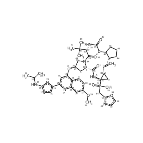 C=C[C@@H]1C[C@]1(NC(=O)[C@@H]1C[C@@H](Oc2cc(-c3csc(NC(C)C)n3)nc3cc(OC)ccc23)CN1C(=O)[C@@H](NC(=O)OC1CCCC1)C(C)(C)C)P(=O)(O)Cc1ncco1